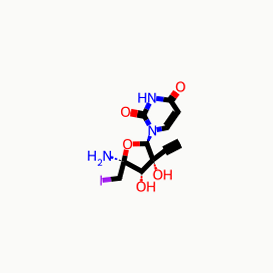 C#C[C@]1(O)[C@H](n2ccc(=O)[nH]c2=O)O[C@](N)(CI)[C@H]1O